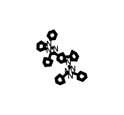 c1ccc(-c2nc(-c3ccccc3)nc(-n3c4ccccc4c4cc(-c5nc6n(-c7ccccc7)c7ccccc7n6c5-c5ccccc5)ccc43)n2)cc1